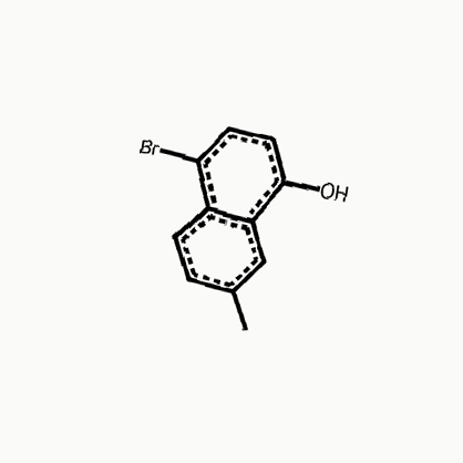 Cc1ccc2c(Br)ccc(O)c2c1